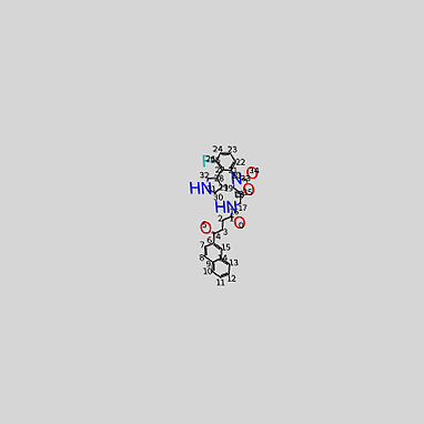 O=C(CCC(=O)c1ccc2ccccc2c1)NC[C@H]1CN(c2cccc(F)c2C2CCNC2)C(=O)O1